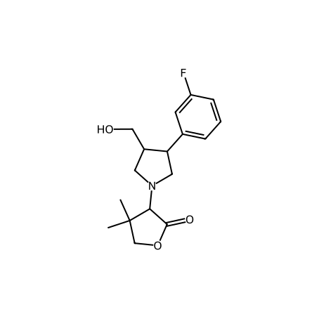 CC1(C)COC(=O)C1N1CC(CO)C(c2cccc(F)c2)C1